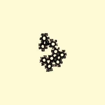 c1cc(-c2ccc3c(c2)-c2cc4c5ccccc5c5ccccc5c4cc2C32c3ccccc3-c3ccccc32)cc(-n2c3ccccc3c3ccccc32)c1